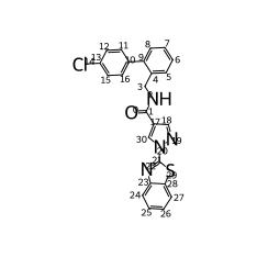 O=C(NCc1ccccc1-c1ccc(Cl)cc1)c1cnn(-c2nc3ccccc3s2)c1